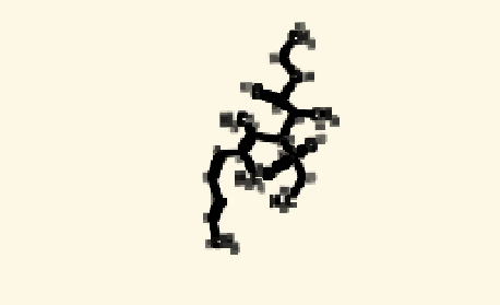 C/C=C/C=C\C(C)=C(/C)N(C(C)C(=O)OCC)S(=O)(=O)CC